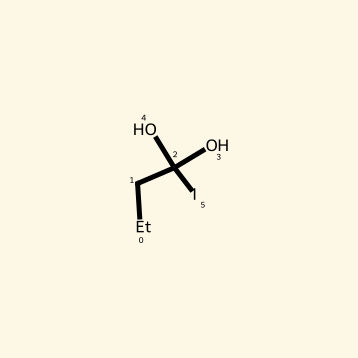 CCCC(O)(O)I